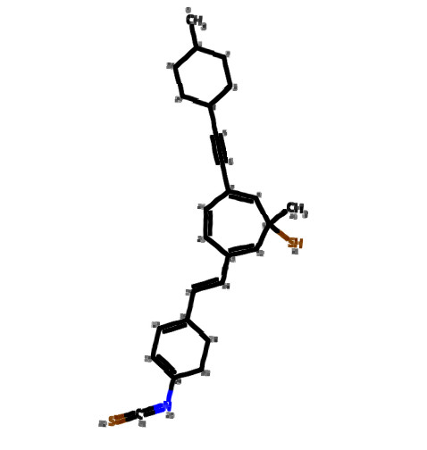 CC1CCC(C#CC2=CC(C)(S)C=C(/C=C/C3=CC=C(N=C=S)CC3)C=C2)CC1